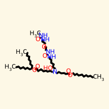 CCCCCCCCCCCOC(=O)CCCCCN(CCCCCCCC(=O)OC(CCCCCCCC)CCCCCCCC)CC(O)CCCCNC(=O)NCCOCCNC(=O)NC